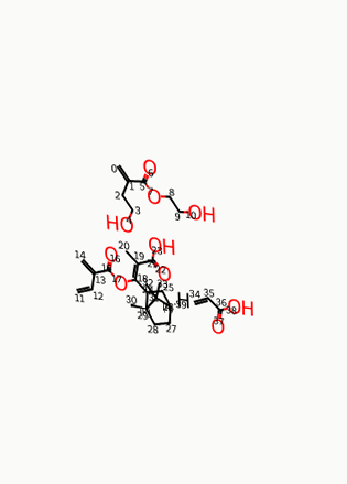 C=C(CCO)C(=O)OCCO.C=CC(=C)C(=O)OC(=C(C)C(=O)O)C1C[C@H]2CC[C@@]1(C)C2(C)C.C=CC(=O)O